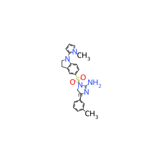 Cc1cccc([C@H]2CN(S(=O)(=O)c3ccc4c(c3)CCN4c3cccn3C)C(N)=N2)c1